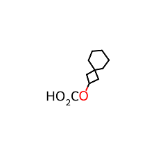 O=C(O)OC1CC2(CCCCC2)C1